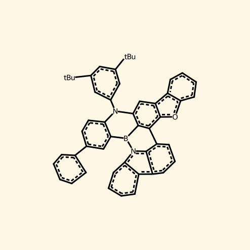 CC(C)(C)c1cc(N2c3ccc(-c4ccccc4)cc3B3c4c2cc2c(oc5ccccc52)c4-c2cccc4c5ccccc5n3c24)cc(C(C)(C)C)c1